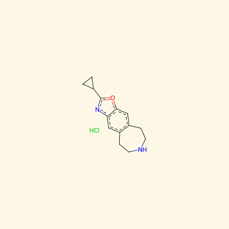 Cl.c1c2c(cc3oc(C4CC4)nc13)CCNCC2